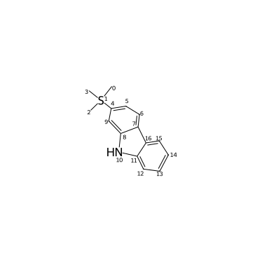 CS(C)(C)c1ccc2c(c1)[nH]c1ccccc12